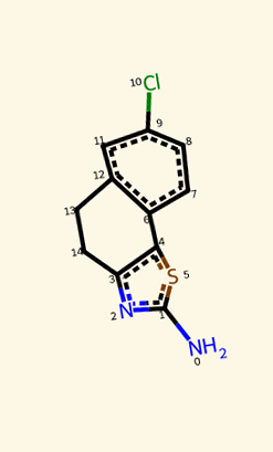 Nc1nc2c(s1)-c1ccc(Cl)cc1CC2